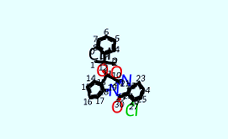 C=CC1(c2ccccc2)COC2(O1)c1ccccc1-n1c2nc2cccc(Cl)c2c1=O